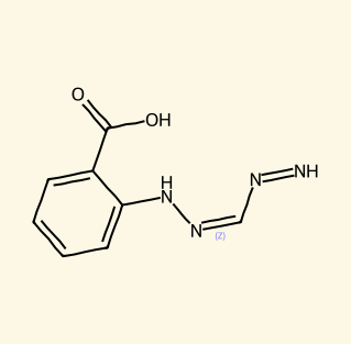 N=N/C=N\Nc1ccccc1C(=O)O